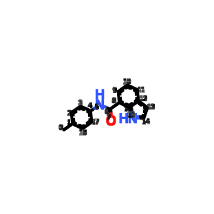 Cc1ccc(NC(=O)c2cccc3cc[nH]c23)cc1